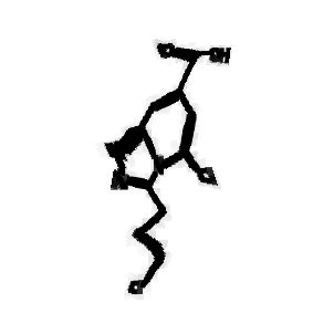 O=C(O)c1cc(Cl)n2c(CCCCl)nnc2c1